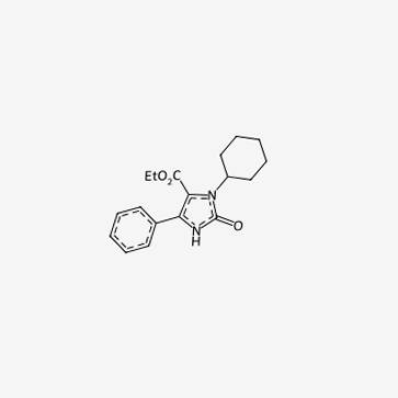 CCOC(=O)c1c(-c2ccccc2)[nH]c(=O)n1C1CCCCC1